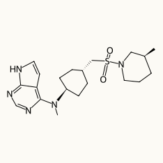 C[C@H]1CCCN(S(=O)(=O)C[C@H]2CC[C@H](N(C)c3ncnc4[nH]ccc34)CC2)C1